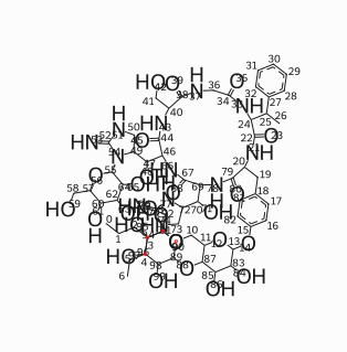 CCCC(CCC)C(=O)OCC1OC(Oc2ccc(CC3NC(=O)C(C(C)c4ccccc4)NC(=O)CNC(=O)C(CO)NC(=O)C(C(O)C4CNC(=N)N4C4OC(CO)C(O)C(O)C4O)NC(=O)C(C(O)C4CNC(=N)N4)NC3=O)cc2)C(O)C(O)C1OC1OC(CO)C(O)C(O)C1O